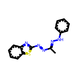 CC(N=Nc1nc2ccccc2s1)=NNc1ccccc1